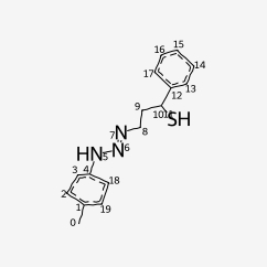 Cc1ccc(NN=NCCC(S)c2ccccc2)cc1